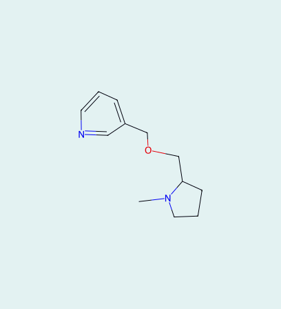 CN1CCCC1COCc1cccnc1